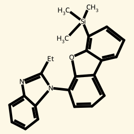 CCc1nc2ccccc2n1-c1cccc2c1oc1c([Si](C)(C)C)cccc12